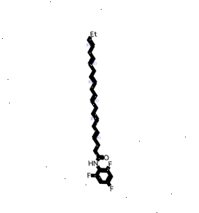 CC/C=C/C/C=C/C/C=C/C/C=C/C/C=C/C/C=C/CCC(=O)Nc1c(F)cc(F)cc1F